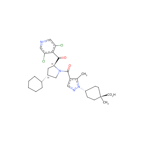 Cc1c(C(=O)N2C[C@H](C3CCCCC3)C[C@H]2C(=O)c2c(Cl)cncc2Cl)cnn1[C@H]1CC[C@](C)(C(=O)O)CC1